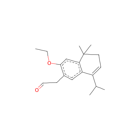 CCOc1cc2c(cc1CC=O)C(C(C)C)=CCC2(C)C